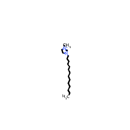 CCCCCCCCCCCCCCN1C=[N+](C)CC1